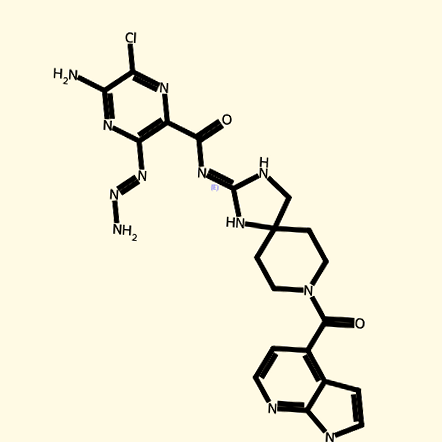 NN=Nc1nc(N)c(Cl)nc1C(=O)/N=C1\NCC2(CCN(C(=O)c3ccnc4[nH]ccc34)CC2)N1